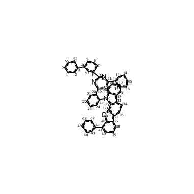 c1ccc(-c2cccc(-c3nc(-c4ccccc4)nc(-c4ccccc4-n4c5ccccc5c5ccc6c7cccc(-c8ccccc8)c7oc6c54)n3)c2)cc1